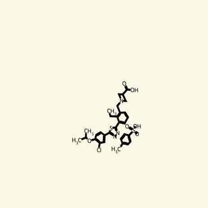 CCc1c(CN2CC(C(=O)O)C2)cccc1-c1nnc(-c2ccc(OC(C)C)c(Cl)c2)s1.Cc1ccc(S(=O)(=O)O)cc1